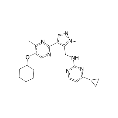 Cc1nc(-c2cnn(C)c2CNc2nccc(C3CC3)n2)ncc1OC1CCCCC1